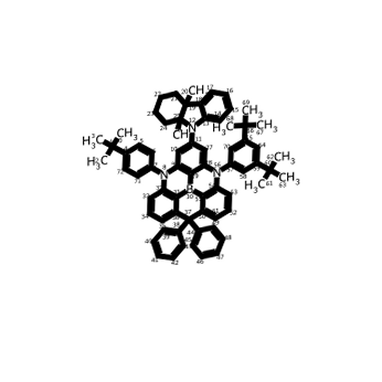 CC(C)(C)c1ccc(N2c3cc(N4c5ccccc5C5(C)CCCCC45C)cc4c3B3c5c2cccc5C(c2ccccc2)(c2ccccc2)c2cccc(c23)N4c2cc(C(C)(C)C)cc(C(C)(C)C)c2)cc1